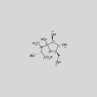 CCC(C)[C@@H](C(=O)O)N(C)C1(O)O[C@H](CO)[C@@H](O)[C@@H]1O